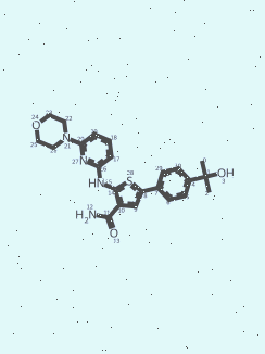 CC(C)(O)c1ccc(-c2cc(C(N)=O)c(Nc3cccc(N4CCOCC4)n3)s2)cc1